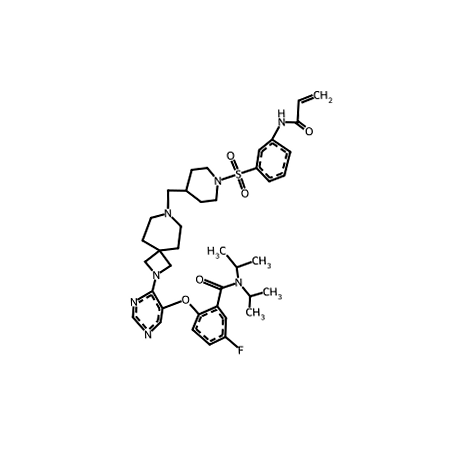 C=CC(=O)Nc1cccc(S(=O)(=O)N2CCC(CN3CCC4(CC3)CN(c3ncncc3Oc3ccc(F)cc3C(=O)N(C(C)C)C(C)C)C4)CC2)c1